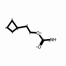 [NH]C(=O)OCCC1CCC1